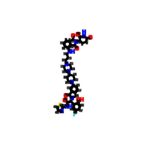 O=C1CCC(N2C(=O)c3cccc(NCCCN4CCN(C5CCN(c6ccc7c(c6)C(=O)N(C(C(=O)Nc6nccs6)c6cc(F)ccc6O)C7)CC5)CC4)c3C2=O)C(=O)N1